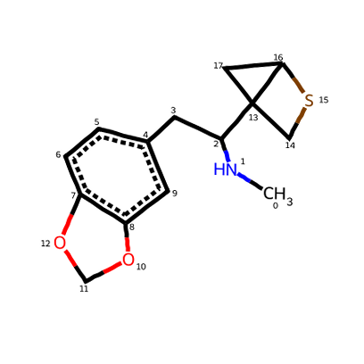 CNC(Cc1ccc2c(c1)OCO2)C12CSC1C2